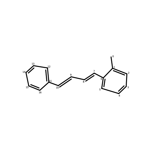 Cc1ccccc1/C=C/C=C/c1ccccc1